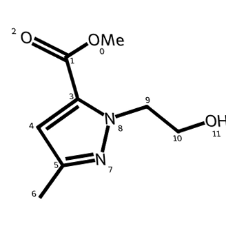 COC(=O)c1cc(C)nn1CCO